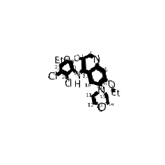 CCOC(=O)c1cnc2cc(OCC)c(N3CCOCC3)cc2c1Nc1cccc(Cl)c1Cl